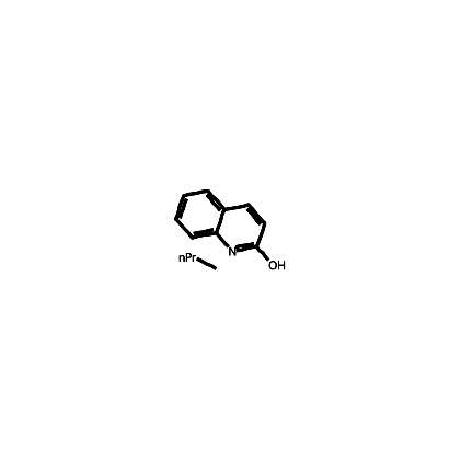 CCCC.Oc1ccc2ccccc2n1